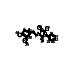 COc1ccc(CCN2C(=O)C(=O)N(c3ccccc3)C2=S)cc1OC